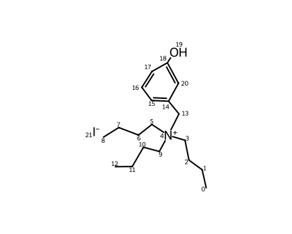 CCCC[N+](CCCC)(CCCC)Cc1cccc(O)c1.[I-]